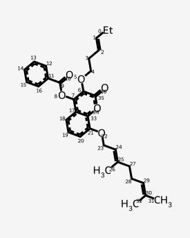 CCC=CCCOc1c(OC(=O)c2ccccc2)c2cccc(OC/C=C(\C)CCC=C(C)C)c2oc1=O